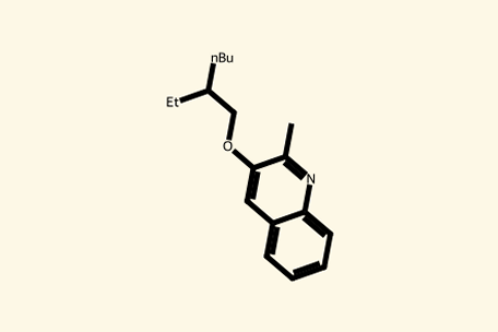 CCCCC(CC)COc1cc2ccccc2nc1C